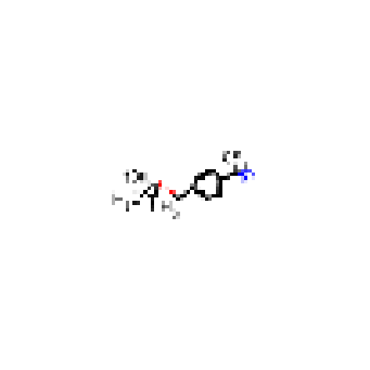 CC(C)(C)[Si](C)(C)OCc1ccc(C2(C(F)(F)F)N=N2)cc1